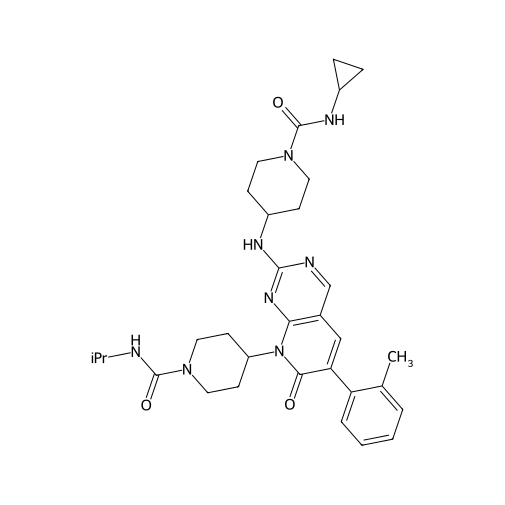 Cc1ccccc1-c1cc2cnc(NC3CCN(C(=O)NC4CC4)CC3)nc2n(C2CCN(C(=O)NC(C)C)CC2)c1=O